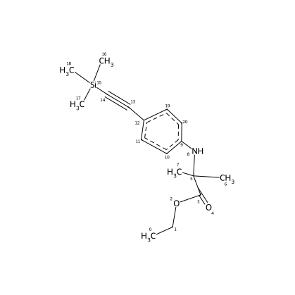 CCOC(=O)C(C)(C)Nc1ccc(C#C[Si](C)(C)C)cc1